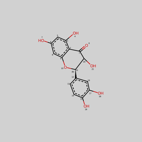 O=C1c2c(O)cc(O)cc2O[C@H](c2ccc(O)c(O)c2)C1O